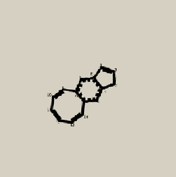 [C]1=CCc2cc3c(cc21)C=CC=CC=C3